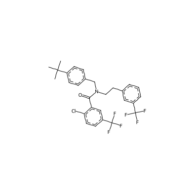 CC(C)(C)c1ccc(CN(CCc2cccc(C(F)(F)F)c2)C(=O)c2cc(C(F)(F)F)ccc2Cl)cc1